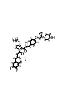 Cl.Cl.N[C@@H](CC(=O)N1CCSC1C(=O)NCc1ccc(OCC(=O)N2CCNCC2)cc1)Cc1cc(F)c(F)cc1F